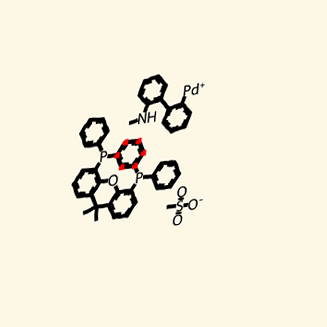 CC1(C)c2cccc(P(c3ccccc3)c3ccccc3)c2Oc2c(P(c3ccccc3)c3ccccc3)cccc21.CNc1ccccc1-c1cccc[c]1[Pd+].CS(=O)(=O)[O-]